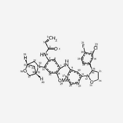 C=CC(=O)Nc1cc(Nc2cc(N3OCC[C@@H]3c3ccc(F)c(Cl)c3)ncn2)c(OC)cc1N1C[C@@H]2C[C@H]1CO2